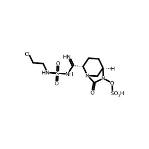 N=C(NS(=O)(=O)NCCCl)[C@@H]1CC[C@@H]2CN1C(=O)N2OS(=O)(=O)O